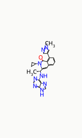 C[C@H](Nc1ncnc2[nH]cnc12)c1cc2cccc(-c3cnn(C)c3)c2c(=O)n1C1CC1